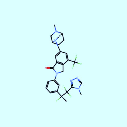 CN1CC2CCC1CN2c1cc2c(c(C(F)(F)F)c1)CN(c1cccc([C@@](C)(F)C(F)(F)c3nncn3C)c1)C2=O